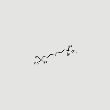 CC(S)(S)CCCOCCCC(C)(S)S